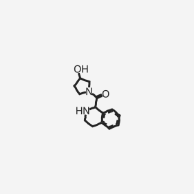 O=C(C1NCCc2ccccc21)N1CCC(O)C1